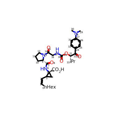 CCCCCC/C=C\C1C[C@]1(NC(=O)[C@@H]1CCCN1C(=O)CNC(=O)O[C@H](C(=O)c1ccc(N(C)C)cc1)C(C)C)C(=O)O